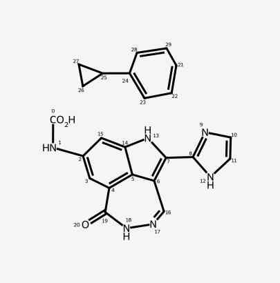 O=C(O)Nc1cc2c3c(c(-c4ncc[nH]4)[nH]c3c1)C=NNC2=O.c1ccc(C2CC2)cc1